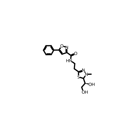 CN1N=C(CCNC(=O)c2cc(-c3ccccc3)on2)SC1[C@@H](O)CO